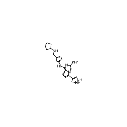 CCCc1cn2c(C3=CNNC3)cnc2c(Nc2cc(CNC3CCCC3)cs2)n1